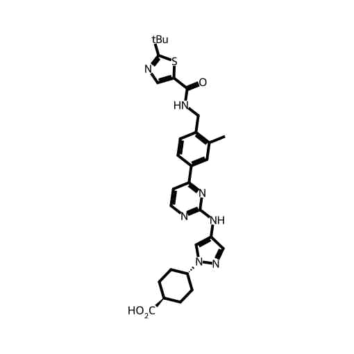 Cc1cc(-c2ccnc(Nc3cnn([C@H]4CC[C@H](C(=O)O)CC4)c3)n2)ccc1CNC(=O)c1cnc(C(C)(C)C)s1